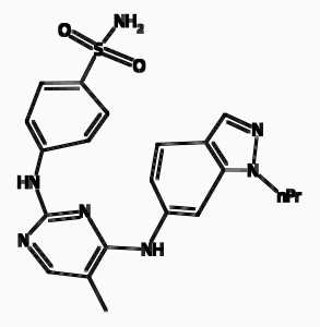 CCCn1ncc2ccc(Nc3nc(Nc4ccc(S(N)(=O)=O)cc4)ncc3C)cc21